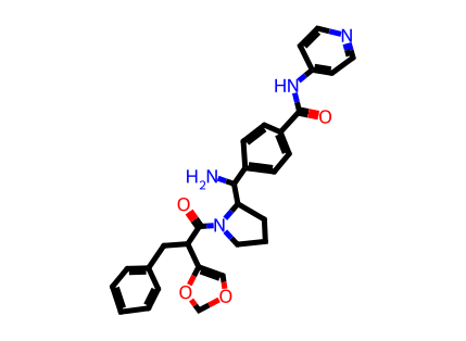 NC(c1ccc(C(=O)Nc2ccncc2)cc1)C1CCCN1C(=O)C(Cc1ccccc1)C1=COCO1